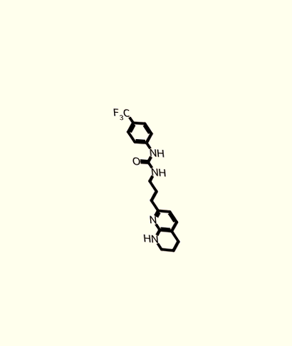 O=C(NCCCc1ccc2c(n1)NCCC2)Nc1ccc(C(F)(F)F)cc1